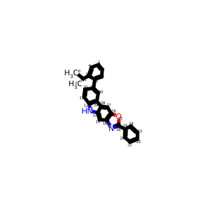 CC(C)c1ccccc1-c1ccc2[nH]c3cc4nc(-c5ccccc5)oc4cc3c2c1